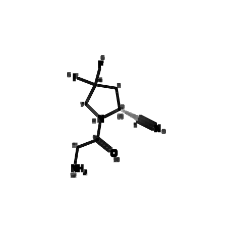 N#C[C@H]1CC(F)(F)CN1C(=O)CN